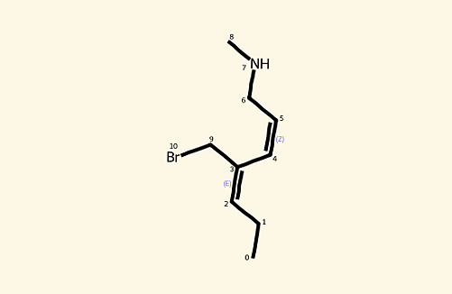 CC/C=C(\C=C/CNC)CBr